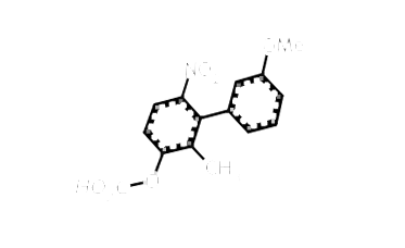 COc1cccc(-c2c([N+](=O)[O-])ccc(OC(=O)O)c2C)c1